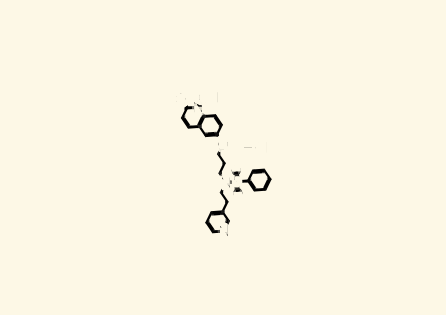 Cl.Cn1c(=O)ccc2cc(OCCCN(CCc3cccnc3)S(=O)(=O)c3ccccc3)ccc21